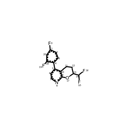 Fc1ccc(-c2ccnc3c2CCC(C(F)F)O3)c(F)c1